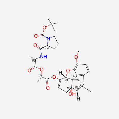 COc1ccc2c3c1O[C@H]1C(OC(=O)[C@H](C)OC(=O)[C@H](C)NC(=O)[C@@H]4CCCN4C(=O)OC(C)(C)C)=CC[C@@]4(O)[C@@H](C2)C(C)CC[C@]314